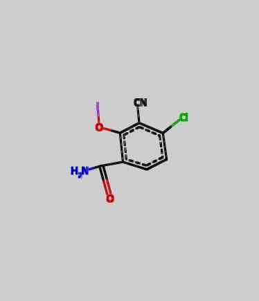 N#Cc1c(Cl)ccc(C(N)=O)c1OI